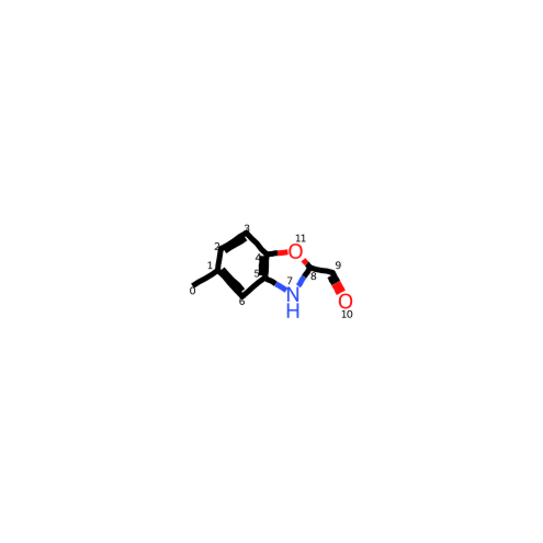 Cc1ccc2c(c1)NC(C=O)O2